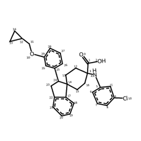 O=C(O)C1(Nc2cccc(Cl)c2)CCC2(CC1)c1ccccc1CC2c1cccc(OCC2CC2)c1